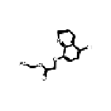 CC(=O)COC(=O)COc1ccc(Cl)c2cccnc12